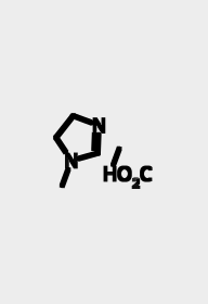 CC(=O)O.CN1C=NCC1